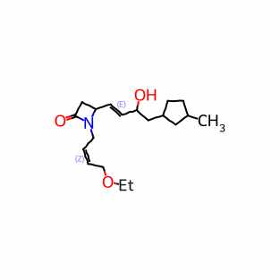 CCOC/C=C\CN1C(=O)CC1/C=C/C(O)CC1CCC(C)C1